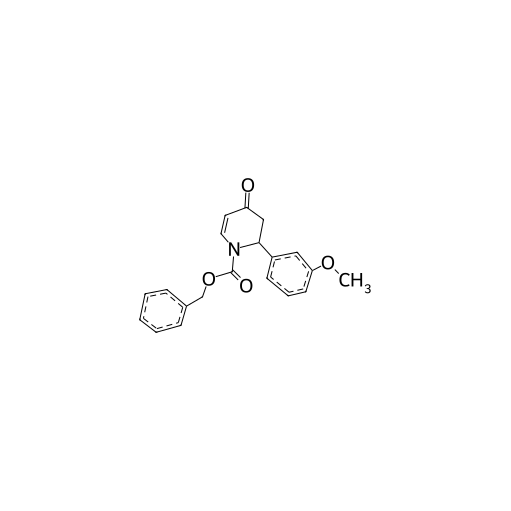 COc1cccc(C2CC(=O)C=CN2C(=O)OCc2ccccc2)c1